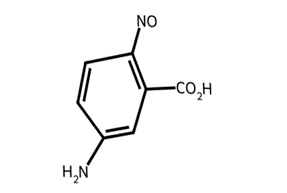 Nc1ccc(N=O)c(C(=O)O)c1